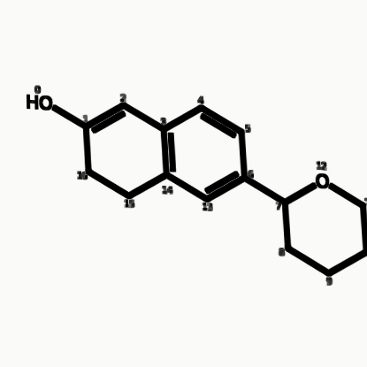 OC1=Cc2ccc(C3CCCCO3)cc2CC1